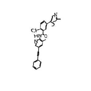 Cc1ncc(-c2ccc(Cl)c(C(=O)Nc3ncc(C#Cc4ccccc4)cc3C)c2)s1